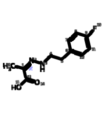 C/C(=N/NCCc1ccc(F)cc1)C(=O)O